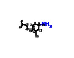 CC(C)CCC1(C)CCC(N)CC1C